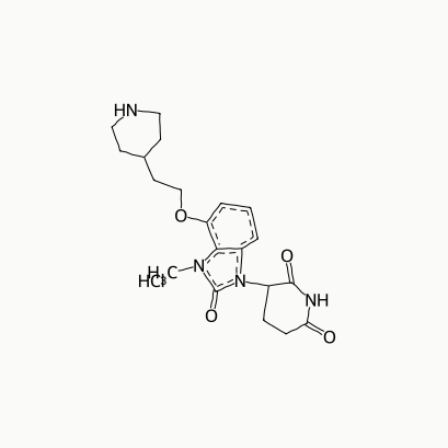 Cl.Cn1c(=O)n(C2CCC(=O)NC2=O)c2cccc(OCCC3CCNCC3)c21